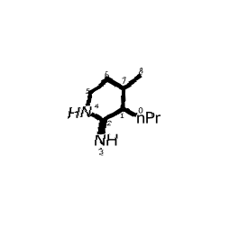 CCCC1C(=N)NCCC1C